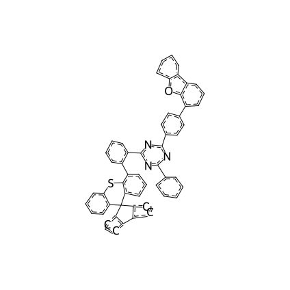 c1ccc(-c2nc(-c3ccc(-c4cccc5c4oc4ccccc45)cc3)nc(-c3ccccc3-c3cccc4c3Sc3ccccc3C43c4ccccc4-c4ccccc43)n2)cc1